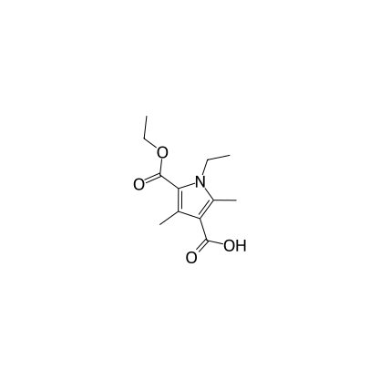 CCOC(=O)c1c(C)c(C(=O)O)c(C)n1CC